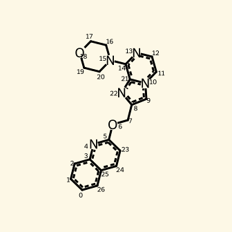 c1ccc2nc(OCc3cn4ccnc(N5CCOCC5)c4n3)ccc2c1